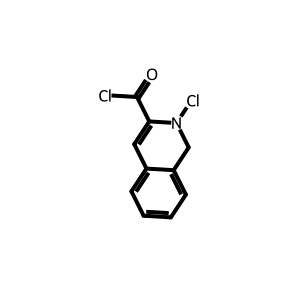 O=C(Cl)C1=Cc2ccccc2CN1Cl